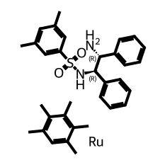 Cc1cc(C)c(C)c(C)c1C.Cc1cc(C)cc(S(=O)(=O)N[C@H](c2ccccc2)[C@H](N)c2ccccc2)c1.[Ru]